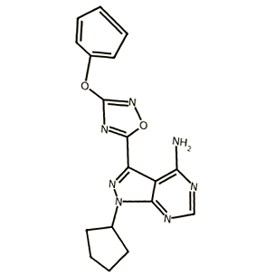 Nc1ncnc2c1c(-c1nc(Oc3ccccc3)no1)nn2C1CCCC1